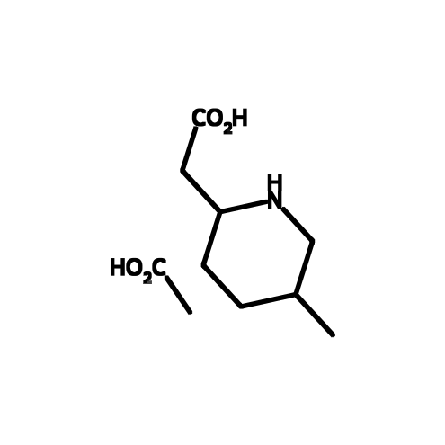 CC(=O)O.CC1CCC(CC(=O)O)NC1